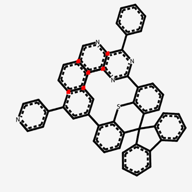 c1ccc(-c2nc(-c3ccccc3)nc(-c3cccc4c3Sc3c(-c5cc(-c6ccncc6)nc(-c6ccncc6)c5)cccc3C43c4ccccc4-c4ccccc43)n2)cc1